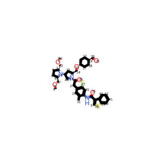 COC[C@H]1CC[C@H](COC)N1[C@H]1C[C@@H](CO[C@H]2CC[C@H](C=O)CC2)N(C(=O)Cc2cc(C)c(NC(=O)c3csc4ccccc34)cc2F)C1